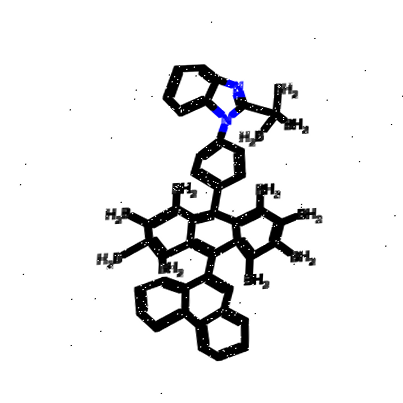 Bc1c(B)c(B)c2c(-c3cc4ccccc4c4ccccc34)c3c(B)c(B)c(B)c(B)c3c(-c3ccc(-n4c(C(B)(B)B)nc5ccccc54)cc3)c2c1B